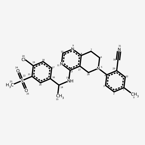 Cc1ccc(N2CCc3ncnc(NC(C)c4ccc(Cl)c(S(C)(=O)=O)c4)c3C2)c(C#N)c1